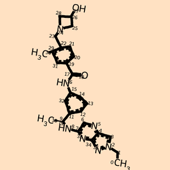 CCn1cc2ncc(N[C@@H](C)c3cccc(NC(=O)c4ccc(CN5CC(O)C5)c(C)c4)c3)nc2n1